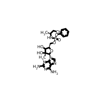 CC[C@H](C)NP(=O)(OC[C@H]1O[C@@H](n2cnc3c(N)nc(N)nc32)[C@](C)(O)C1O)Oc1ccccc1